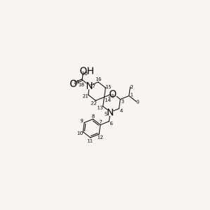 CC(C)C1CN(Cc2ccccc2)CC2(CCN(C(=O)O)CC2)O1